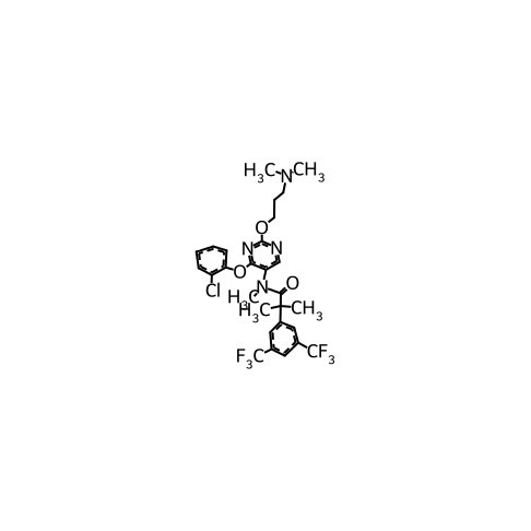 CN(C)CCCOc1ncc(N(C)C(=O)C(C)(C)c2cc(C(F)(F)F)cc(C(F)(F)F)c2)c(Oc2ccccc2Cl)n1